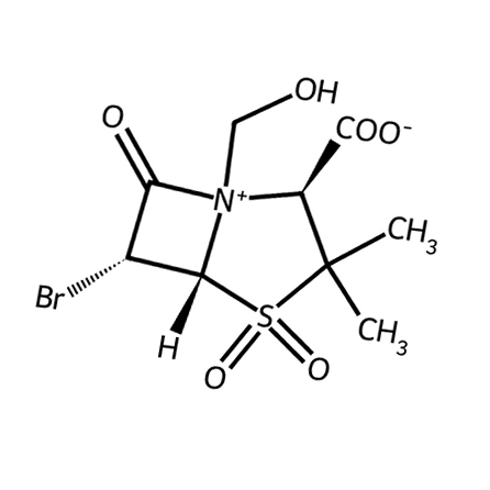 CC1(C)[C@H](C(=O)[O-])[N+]2(CO)C(=O)[C@@H](Br)[C@H]2S1(=O)=O